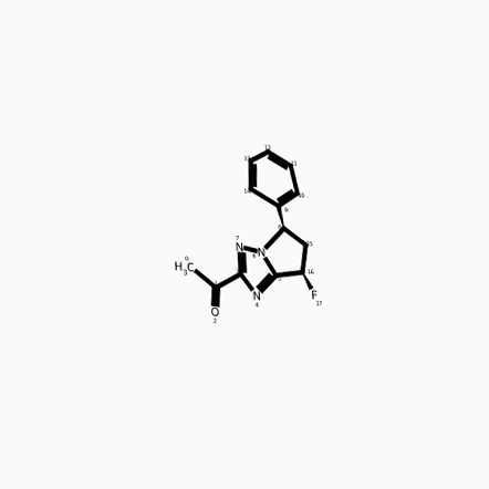 CC(=O)c1nc2n(n1)[C@@H](c1ccccc1)C[C@H]2F